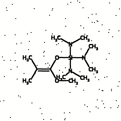 COC(O[Si](N(C)C)(N(C)C)N(C)C)=C(C)C